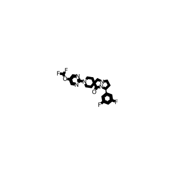 O=C1N2[C@H](c3cc(F)cc(F)c3)CCN2CC12CCN(c1ncc(OC(F)F)cn1)CC2